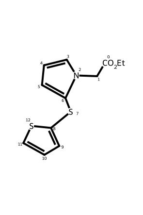 CCOC(=O)Cn1cccc1Sc1cccs1